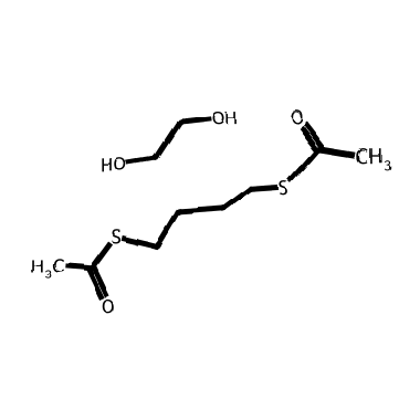 CC(=O)SCCCCSC(C)=O.OCCO